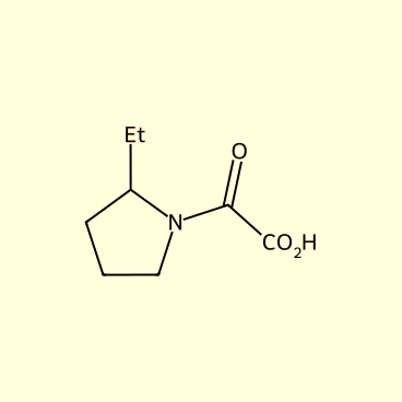 CCC1CCCN1C(=O)C(=O)O